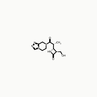 C[C@@H](C(=O)N1CCn2cnnc2C1)[C@H]1NC(=O)[C@@H]1CO